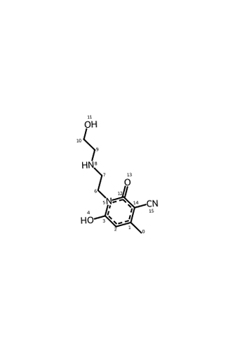 Cc1cc(O)n(CCNCCO)c(=O)c1C#N